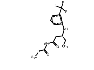 CC[C@@H](CC(=O)NC(=O)OC)Nc1cccc(C(F)(F)F)c1